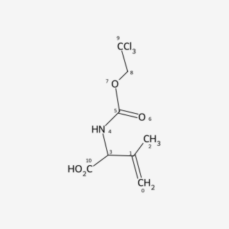 C=C(C)C(NC(=O)OCC(Cl)(Cl)Cl)C(=O)O